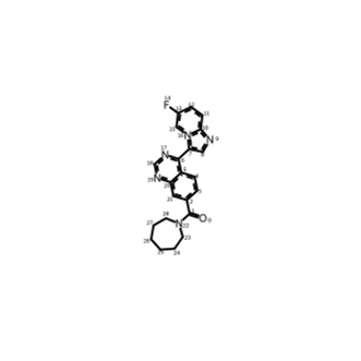 O=C(c1ccc2c(-c3cnc4ccc(F)cn34)ncnc2c1)N1CCCCCC1